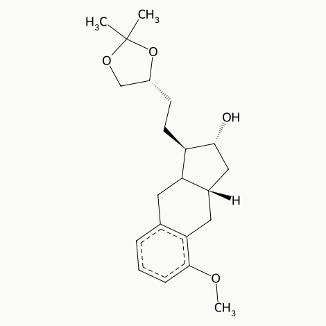 COc1cccc2c1C[C@H]1C[C@@H](O)[C@H](CC[C@@H]3COC(C)(C)O3)C1C2